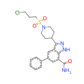 NC(=O)c1cc(-c2ccccc2)cc2c(C3CCN(S(=O)(=O)CCCCl)CC3)n[nH]c12